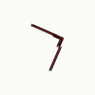 F.F.F.F.F.F.F.F.F.F.F.F.F.F.F.F.F.F.F.F.F.F.F.F.F.[Ar].[Ar].[Ar].[Ar].[Ar].[Ar].[Ar].[Ar].[Ar].[Ar].[Ar].[Ar].[Ar].[Ar].[Ar].[Ar].[Ar].[Ar].[Ar].[Ar].[Ar].[Ar].[Ar].[Ar].[Ar].[Ar].[Ar].[Ar].[Ar].[Ar].[Ar].[Ar].[Ar].[Ar].[Ar].[Ar].[Ar].[Ar].[Ar].[Ar].[Ar].[Ar].[Ar].[Ar].[Ar].[Ar].[Ar].[Ar].[Ar].[Ar].[Ar].[Ar].[Ar].[Ar].[Ar].[Ar].[Ar].[Ar].[Ar].[Ar].[Ar].[Ar].[Ar].[Ar].[Ar].[Ar].[Ar].[Ar].[Ar].[Ar].[Ar].[Ar].[Ar].[Ar].[Ar]